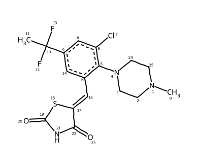 CN1CCN(c2c(Cl)cc(C(C)(F)F)cc2/C=C2\SC(=O)NC2=O)CC1